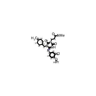 CNC(=O)CCn1c(=O)[nH]/c(=N\c2ccc(OC(C)C)c(Cl)c2)n(CC2CCC(C)CC2)c1=O